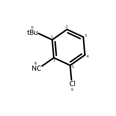 CC(C)(C)c1cccc(Cl)c1C#N